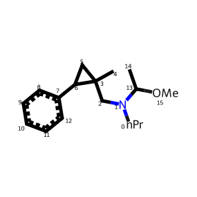 CCCN(CC1(C)CC1c1ccccc1)C(C)OC